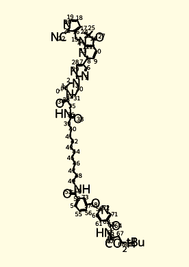 C[C@@H]1CN(c2ncc(-c3ccc4c(n3)N(Cc3cccnc3C#N)C(C)(C)C4=O)cn2)CCN1C(=O)CNC(=O)CCCCCCCCCCCNC(=O)c1cccc(Oc2ccc(C(=O)N[C@@H](CCC(C)(C)C)C(=O)O)cn2)c1